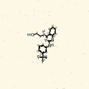 OCCNc1nc(Nc2cccc(C(F)(F)F)c2)nc2ccccc12